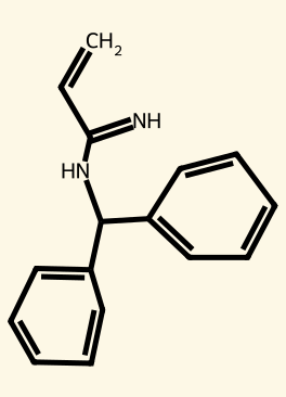 C=CC(=N)NC(c1ccccc1)c1ccccc1